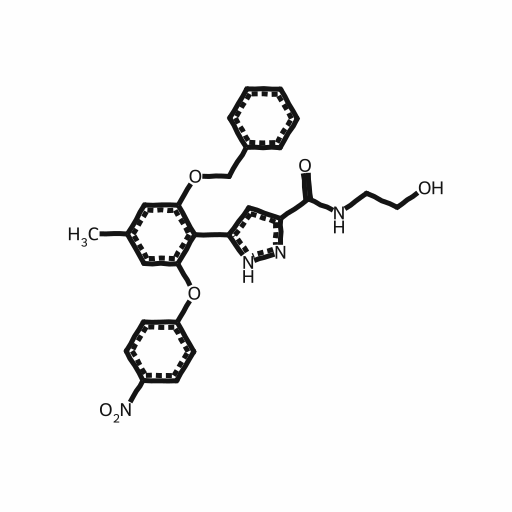 Cc1cc(OCc2ccccc2)c(-c2cc(C(=O)NCCO)n[nH]2)c(Oc2ccc([N+](=O)[O-])cc2)c1